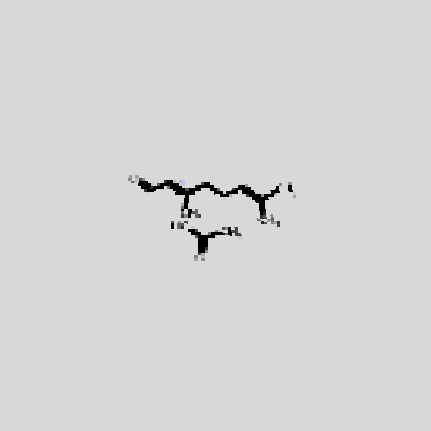 CC(=O)O.CC(C)=CCC/C(C)=C/C=O